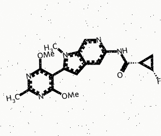 COc1nc(C)nc(OC)c1-c1cc2cc(NC(=O)[C@@H]3C[C@@H]3F)ncc2n1C